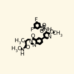 CNC1OC1[C@@H](C)Cn1cnc2ccc(-c3cnc(OC)c(NS(=O)(=O)c4cc(F)cc(F)c4)c3)cc2c1=O